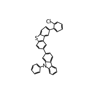 Clc1ccccc1-c1ccc2sc3ccc(-c4ccc5c6ccccc6n(-c6ccccc6)c5c4)cc3c2c1